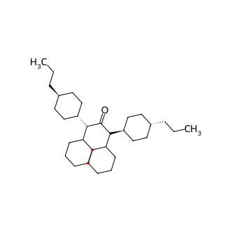 CCC[C@H]1CC[C@H](C(C(=O)C(C2CCCCC2)[C@H]2CC[C@H](CCC)CC2)C2CCCCC2)CC1